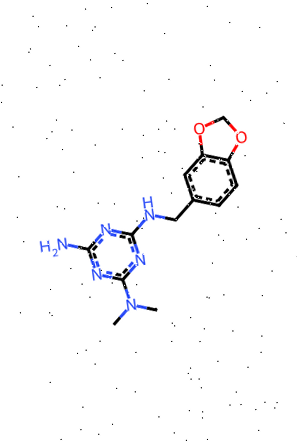 CN(C)c1nc(N)nc(NCc2ccc3c(c2)OCO3)n1